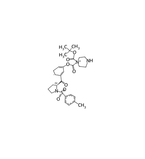 Cc1ccc(S(=O)(=O)N2CCC[C@H]2C(=O)C2=CC(OC(=O)[N+]3(C(=O)OC(C)(C)C)CCNCC3)=CC[CH]2)cc1